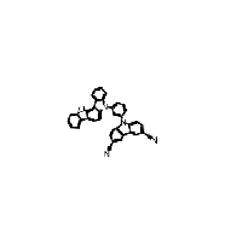 N#Cc1ccc2c(c1)c1cc(C#N)ccc1n2-c1cccc(-n2c3ccccc3c3c4oc5ccccc5c4ccc32)c1